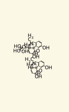 CN1CC[C@]23c4c5ccc(O)c4O[C@H]2[C@@H](O)C=C[C@H]3[C@H]1C5.CN1CC[C@]23c4c5ccc(O)c4O[C@H]2[C@@H](O)C=C[C@H]3[C@H]1C5.O=P(O)(O)O